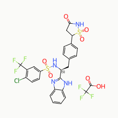 O=C(O)C(F)(F)F.O=C1CC(c2ccc(C[C@H](NS(=O)(=O)c3ccc(Cl)c(C(F)(F)F)c3)c3nc4ccccc4[nH]3)cc2)S(=O)(=O)N1